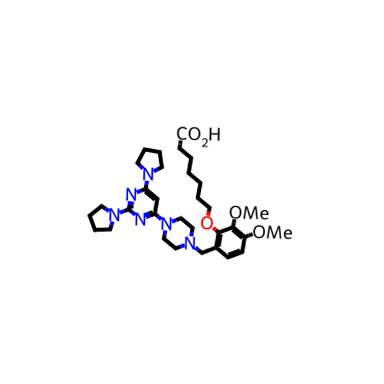 COc1ccc(CN2CCN(c3cc(N4CCCC4)nc(N4CCCC4)n3)CC2)c(OCCCCCCC(=O)O)c1OC